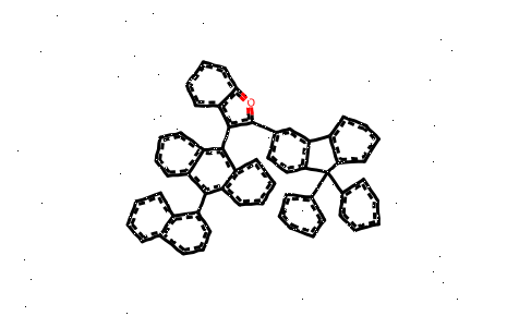 c1ccc(C2(c3ccccc3)c3ccccc3-c3cc(-c4oc5ccccc5c4-c4c5ccccc5c(-c5cccc6ccccc56)c5ccccc45)ccc32)cc1